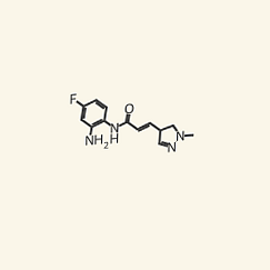 CN1CC(/C=C/C(=O)Nc2ccc(F)cc2N)C=N1